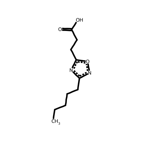 CCCCCc1noc(CCC(=O)O)n1